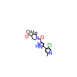 COC(=O)C1CCN(C(=O)c2cc(-c3cc(C)ncc3Cl)[nH]n2)CC1